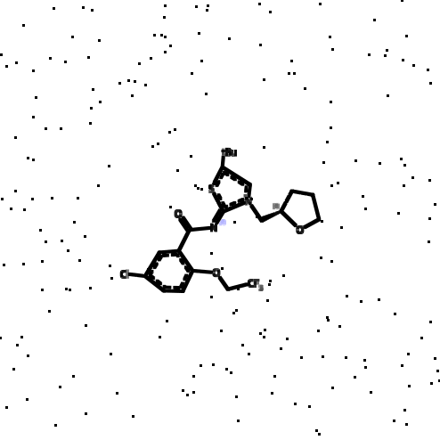 CC(C)(C)c1cn(C[C@H]2CCCO2)/c(=N/C(=O)c2cc(Cl)ccc2OCC(F)(F)F)s1